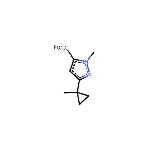 CCOC(=O)c1cc(C2(C)CC2)nn1C